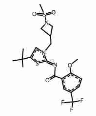 COc1ccc(C(F)(F)F)cc1C(=O)/N=c1\sc(C(C)(C)C)cn1CC1CN(S(C)(=O)=O)C1